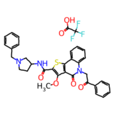 COc1c(C(=O)NC2CCN(Cc3ccccc3)C2)sc2c1c(=O)n(CC(=O)c1ccccc1)c1ccccc21.O=C(O)C(F)(F)F